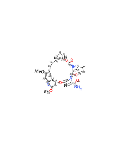 CCOc1cc2c3cc(c(OC)cc3n1)CCC[C@H]1CCC[C@H]1OC(=O)N[C@@H](C1CCCC1)C(=O)N1C[C@@H](C[C@H]1C(N)=O)O2